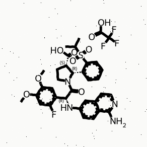 COc1cc(F)c([C@@H](Nc2ccc3c(N)nccc3c2)C(=O)N2CC[C@H](C(=O)O)[C@@H]2c2ccccc2S(=O)(=O)C(C)C)cc1OC.O=C(O)C(F)(F)F